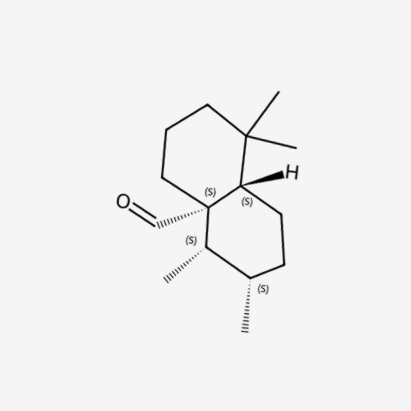 C[C@H]1CC[C@H]2C(C)(C)CCC[C@]2(C=O)[C@H]1C